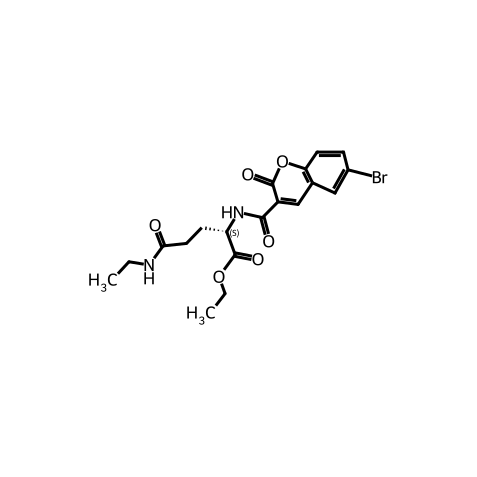 CCNC(=O)CC[C@H](NC(=O)c1cc2cc(Br)ccc2oc1=O)C(=O)OCC